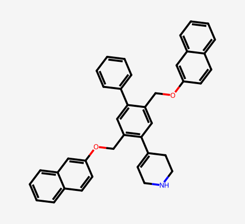 C1=C(c2cc(COc3ccc4ccccc4c3)c(-c3ccccc3)cc2COc2ccc3ccccc3c2)CCNC1